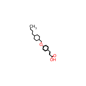 CCCCC1CCC(COc2ccc(C=CC(=O)O)cc2)CC1